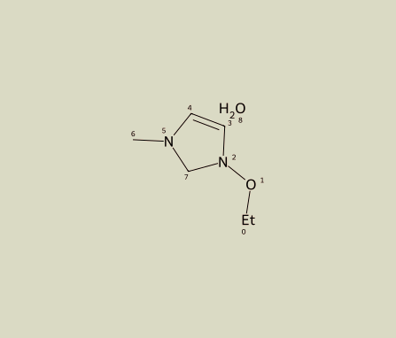 CCON1C=CN(C)C1.O